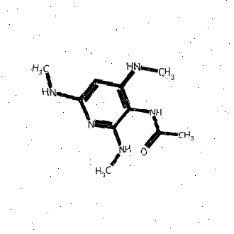 CNc1cc(NC)c(NC(C)=O)c(NC)n1